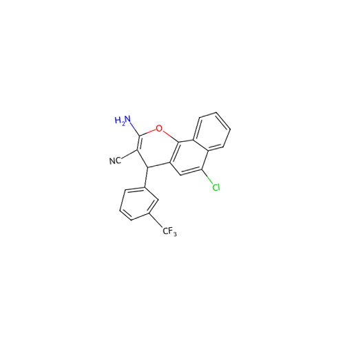 N#CC1=C(N)Oc2c(cc(Cl)c3ccccc23)C1c1cccc(C(F)(F)F)c1